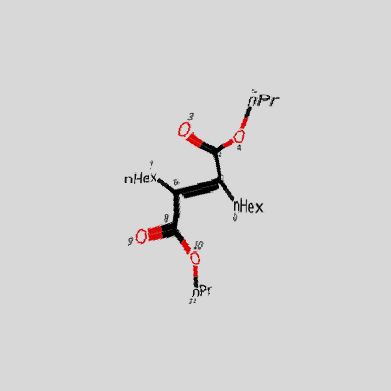 CCCCCCC(C(=O)OCCC)=C(CCCCCC)C(=O)OCCC